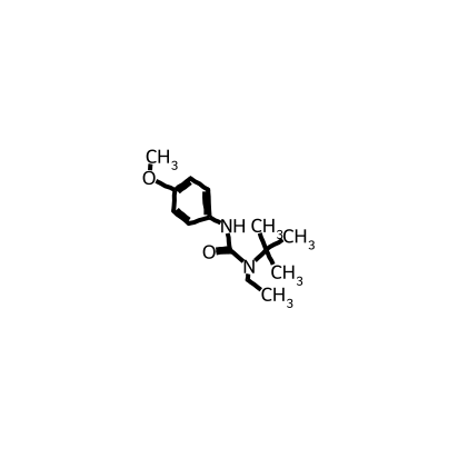 CCN(C(=O)Nc1ccc(OC)cc1)C(C)(C)C